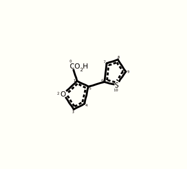 O=C(O)c1occc1-c1cccs1